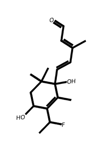 CC(C=CC1(O)C(C)=C(C(C)F)C(O)CC1(C)C)=CC=O